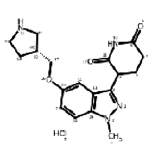 Cl.Cn1nc(C2CCC(=O)NC2=O)c2cc(OC[C@@H]3CCNC3)ccc21